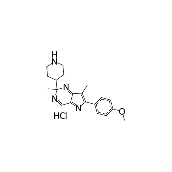 COc1ccc(C2=C(C)C3=NC(C)(C4CCNCC4)N=CC3=N2)cc1.Cl